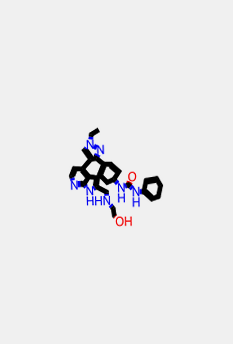 CCn1cc(-c2ccnc3[nH]c(CNCCO)cc23)c(C2=CCC(NC(=O)NC3=CCCC=C3)C=C2)n1